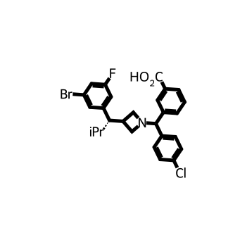 CC(C)[C@H](c1cc(F)cc(Br)c1)C1CN(C(c2ccc(Cl)cc2)c2cccc(C(=O)O)c2)C1